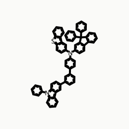 c1ccc(-n2c3ccccc3c3cc(-c4cccc(-c5ccc(N(c6ccc7c(c6)C(c6ccccc6)(c6ccccc6)c6ccccc6-7)c6ccc7sc8ccccc8c7c6)cc5)c4)ccc32)cc1